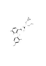 CCCN(CC1CC1)c1nnc(-c2ccc(F)c(F)c2Nc2ccc(CC)cc2F)o1